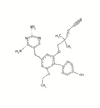 CCOc1cc(Cc2cnc(N)nc2N)cc(OCC(C)(C)/C=C/C#N)c1-c1ccc(O)cc1